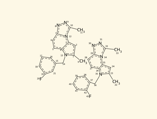 Cc1cc2c(ccc3nnc(C)n32)n1Cc1cccc(F)c1.Cc1cc2c(ccc3nnc(C)n32)n1Cc1ccccc1F